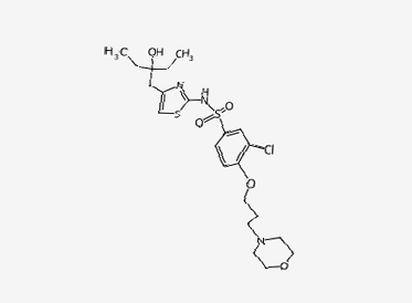 CCC(O)(CC)Cc1csc(NS(=O)(=O)c2ccc(OCCCN3CCOCC3)c(Cl)c2)n1